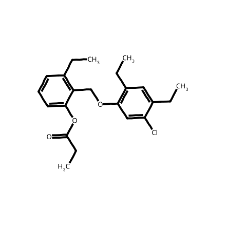 CCC(=O)Oc1cccc(CC)c1COc1cc(Cl)c(CC)cc1CC